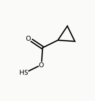 O=C(OS)C1CC1